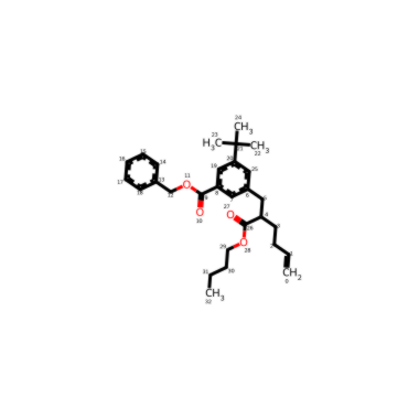 C=CCCC(Cc1cc(C(=O)OCc2ccccc2)cc(C(C)(C)C)c1)C(=O)OCCCC